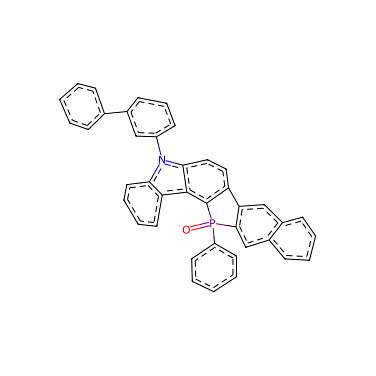 O=P1(c2ccccc2)c2cc3ccccc3cc2-c2ccc3c(c21)c1ccccc1n3-c1cccc(-c2ccccc2)c1